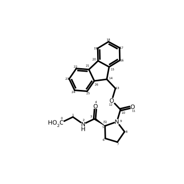 O=C(O)CNC(=O)[C@@H]1CCCN1C(=O)OCC1c2ccccc2-c2ccccc21